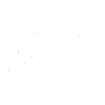 CCO[Si](C)(CCCCCc1cc(F)cc(F)c1)OCC